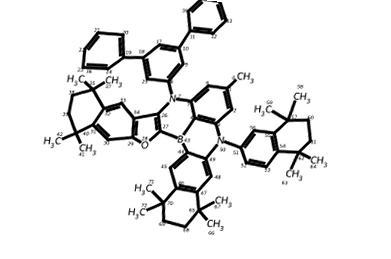 Cc1cc2c3c(c1)N(c1cc(-c4ccccc4)cc(-c4ccccc4)c1)c1c(oc4cc5c(cc14)C(C)(C)CCC5(C)C)B3c1cc3c(cc1N2c1ccc2c(c1)C(C)(C)CCC2(C)C)C(C)(C)CCC3(C)C